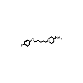 NC1CCN(CCCCCOc2ccc(F)cc2)CC1